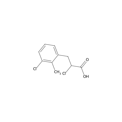 Cc1c(Cl)cccc1CC(Cl)C(=O)O